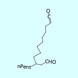 CCCCCC(CC=O)CCCCCCCC=C=O